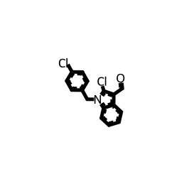 O=Cc1c(Cl)n(Cc2ccc(Cl)cc2)c2ccccc12